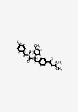 CC(C)CC(=O)c1ccc(CNC(=O)N(Cc2ccc(F)cc2)C[C@@H]2CCCN2C)cc1